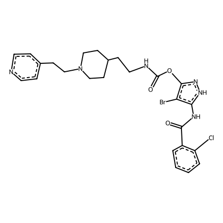 O=C(NCCC1CCN(CCc2ccncc2)CC1)Oc1n[nH]c(NC(=O)c2ccccc2Cl)c1Br